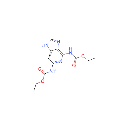 CCOC(=O)Nc1cc2[nH]cnc2c(NC(=O)OCC)n1